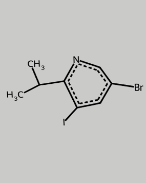 CC(C)c1ncc(Br)cc1I